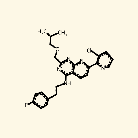 CC(C)COCc1nc(NCCc2ccc(F)cc2)c2ccc(-c3ncccc3Cl)nc2n1